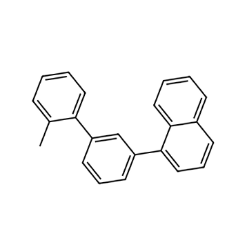 Cc1ccccc1-c1cccc(-c2cccc3ccccc23)c1